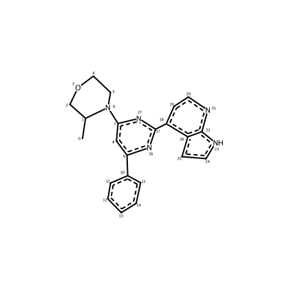 CC1COCCN1c1cc(-c2ccccc2)nc(-c2ccnc3[nH]ccc23)n1